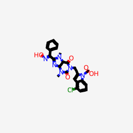 CN1C(=O)N(Cc2cc3c(Cl)cccc3n2C(=O)O)C(=O)C2C1N=C(C(=NO)c1ccccc1)N2C